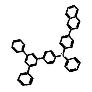 c1ccc(-c2cc(-c3ccccc3)cc(-c3ccc(N(c4ccccc4)c4ccc(-c5ccc6ccccc6c5)cc4)cc3)c2)cc1